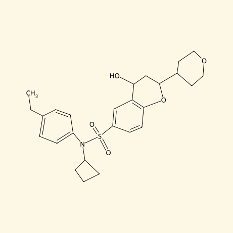 CCc1ccc(N(C2CCC2)S(=O)(=O)c2ccc3c(c2)C(O)CC(C2CCOCC2)O3)cc1